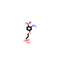 Nc1cc(OCCCS(=O)(=O)O)ccc1[N+](=O)[O-]